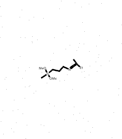 CCC(C)=NCCC[Si](C)(OC)OC